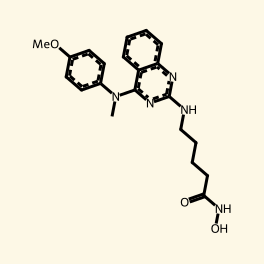 COc1ccc(N(C)c2nc(NCCCCC(=O)NO)nc3ccccc23)cc1